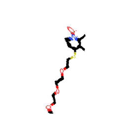 COCCOCCOCCSc1cc[n+]([O-])c(C)c1C